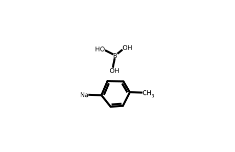 Cc1cc[c]([Na])cc1.OB(O)O